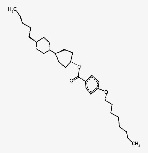 CCCCCCCCOc1ccc(C(=O)O[C@H]2CC[C@H]([C@H]3CC[C@H](CCCCC)CC3)CC2)cc1